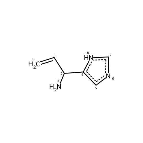 C=CC(N)c1cnc[nH]1